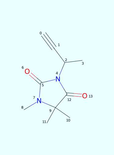 C#CC(C)N1C(=O)N(C)C(C)(C)C1=O